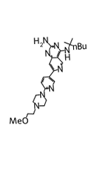 CCCCC(C)(C)Nc1nc(N)nc2cc(-c3ccc(N4CCN(CCOC)CC4)nc3)ncc12